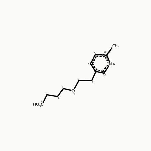 O=C(O)CCCOCCc1ccc(Cl)nc1